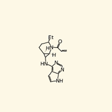 C=CC(=O)N1[C@H](CC)CC[C@@H]2C(Nc3ncnc4[nH]ccc34)[C@@H]21